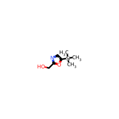 C[Si](C)(C)c1cnc(CO)o1